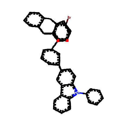 Brc1ccc(-c2cccc(-c3ccc4c(c3)c3ccccc3n4-c3ccccc3)c2)c2c1C1c3ccccc3C2c2ccccc21